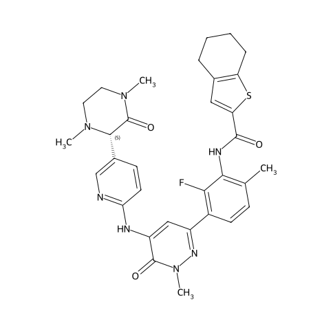 Cc1ccc(-c2cc(Nc3ccc([C@H]4C(=O)N(C)CCN4C)cn3)c(=O)n(C)n2)c(F)c1NC(=O)c1cc2c(s1)CCCC2